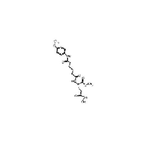 COC(=O)[C@H](CCC(=O)NO)NC(=O)CCCCC(=O)Nc1ccc(OC)cc1